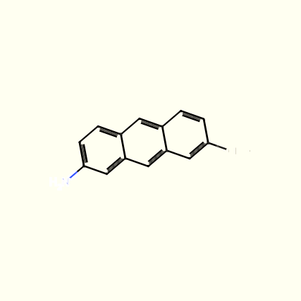 Nc1ccc2cc3ccc(C=O)cc3cc2c1